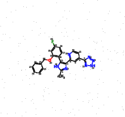 Cc1nc(-c2cc(-c3nn[nH]n3)ccn2)c(-c2ccc(F)cc2OCc2ccccc2)[nH]1